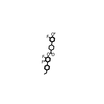 CCc1ccc(-c2ccc(OC(=O)C3CCC(c4ccc(OC)c(F)c4)CC3)c(F)c2F)cc1